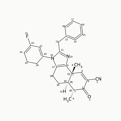 C[C@H]1C(=O)C(C#N)=C[C@@]2(C)c3nc(CC4=C=C=CC=C4)n(C4=CC(F)=CCC4)c3CC[C@H]12